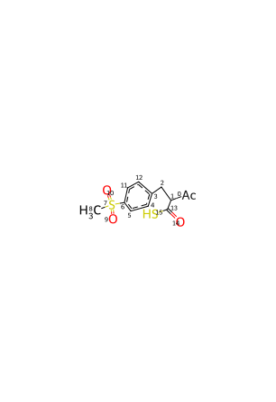 CC(=O)C(Cc1ccc(S(C)(=O)=O)cc1)C(=O)S